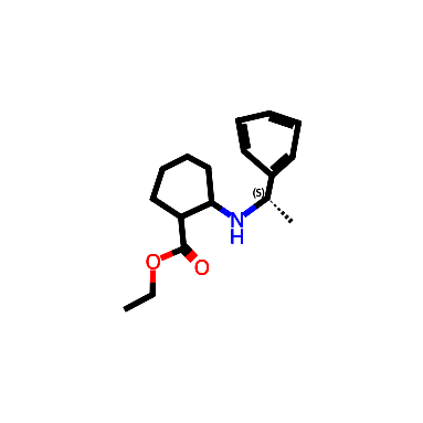 CCOC(=O)C1CCCCC1N[C@@H](C)c1ccccc1